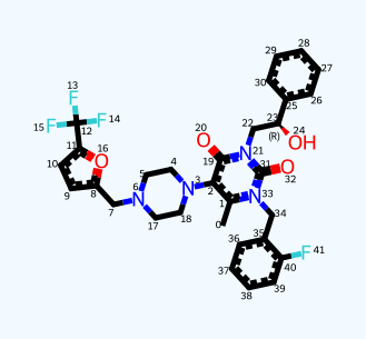 Cc1c(N2CCN(Cc3ccc(C(F)(F)F)o3)CC2)c(=O)n(C[C@H](O)c2ccccc2)c(=O)n1Cc1ccccc1F